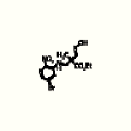 CCOC(=O)C(C)(C=NO)CNc1cc(Br)cnc1[N+](=O)[O-]